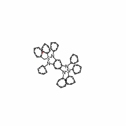 c1ccc(CS2(c3ccccc3)N(c3ccccc3)c3cc4c(cc3N2c2ccccc2)N(c2ccccc2)[Si](c2ccccc2)(c2ccccc2)N4c2ccccc2)cc1